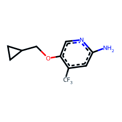 Nc1cc(C(F)(F)F)c(OCC2CC2)cn1